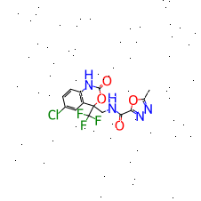 Cc1nnc(C(=O)NCC2(C(F)(F)F)OC(=O)Nc3ccc(Cl)cc32)o1